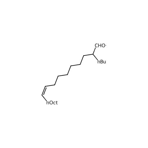 CCCCCCCC/C=C\CCCCCCC([C]=O)CCCC